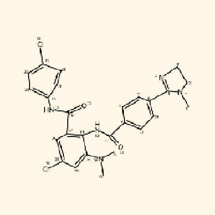 CN1CCN=C1c1ccc(C(=O)Nc2c(C(=O)Nc3ccc(Cl)cc3)cc(Cl)cc2N(C)C)cc1